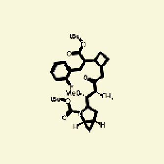 CO[C@@H](C1C[C@@H]2C[C@@H]2N1C(=O)OC(C)(C)C)[C@@H](C)C(=O)CC1CCC1C(Cc1ccccc1F)C(=O)OC(C)(C)C